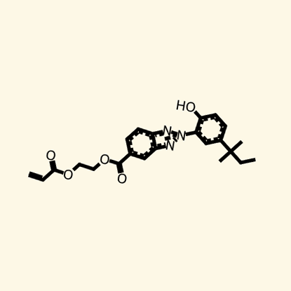 C=CC(=O)OCCOC(=O)c1ccc2c(c1)n1n(-c3cc(C(C)(C)CC)ccc3O)n21